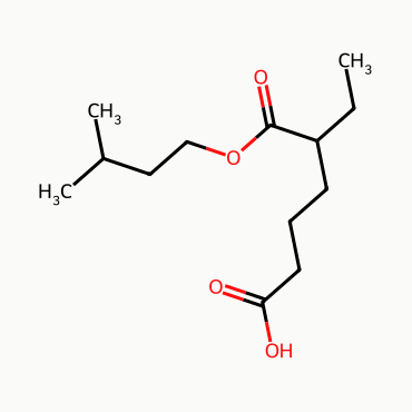 CCC(CCCC(=O)O)C(=O)OCCC(C)C